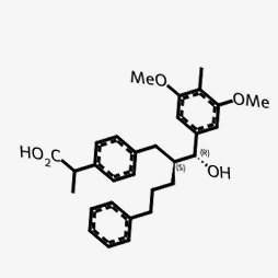 COc1cc([C@H](O)[C@@H](CCCc2ccccc2)Cc2ccc(C(C)C(=O)O)cc2)cc(OC)c1C